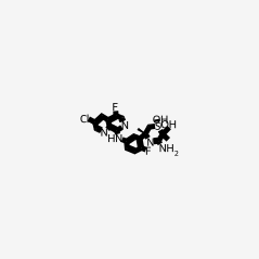 CC1(C)C(N)=N[C@](C)(c2cc(Nc3ncc(F)c4cc(Cl)cnc34)ccc2F)CS1(O)O